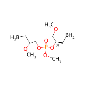 BCC(COP(=O)(OC)O[C@H](CB)COC)OC